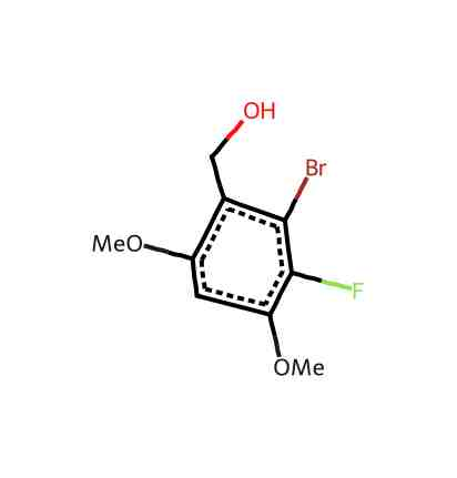 COc1cc(OC)c(CO)c(Br)c1F